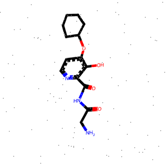 NCC(=O)NC(=O)c1nccc(OC2CCCCC2)c1O